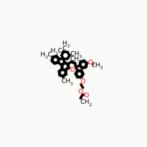 C=CC(=O)OCCOc1ccc(C2(c3ccc(OC)cc3)C=Cc3c4c(c5ccc(C)cc5c3O2)-c2ccc(C)cc2C42CC(C)(C)CC(C)(C)C2)cc1